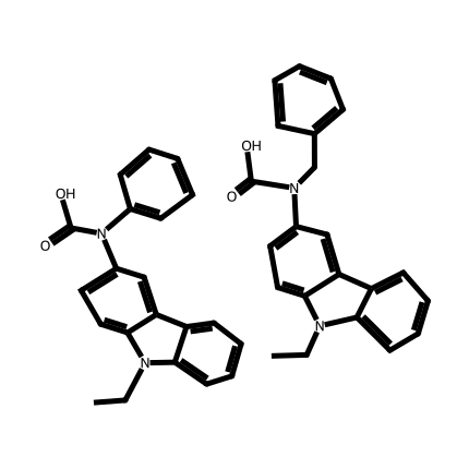 CCn1c2ccccc2c2cc(N(C(=O)O)c3ccccc3)ccc21.CCn1c2ccccc2c2cc(N(Cc3ccccc3)C(=O)O)ccc21